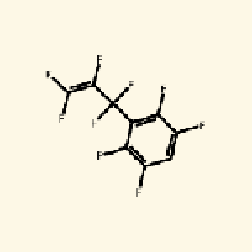 FC(F)=C(F)C(F)(F)c1c(F)c(F)cc(F)c1F